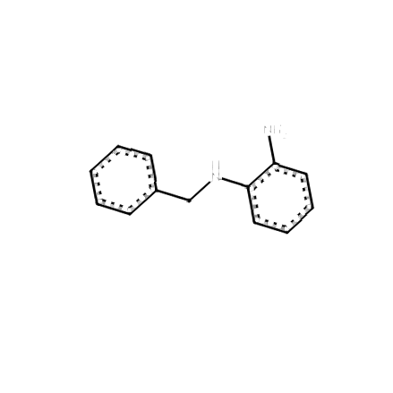 Nc1[c]cccc1NCc1ccccc1